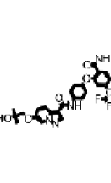 CC(C)(O)COc1ccc2c(C(=O)NC3CCC(Oc4cc(OC(F)F)ccc4C(N)=O)CC3)cnn2c1